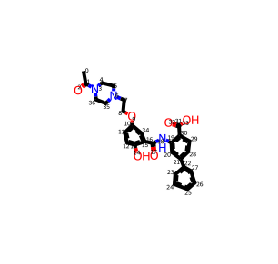 CC(=O)N1CCN(CCOc2ccc(O)c(C(=O)Nc3cc(-c4ccccc4)ccc3C(=O)O)c2)CC1